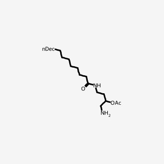 CCCCCCCCCCCCCCCCCC(=O)NCCC(CN)OC(C)=O